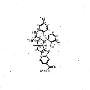 COC(=O)c1ccc2c(c1)nc1n2C[C@H]2[C@@H]1[C@H](c1cccc(Cl)c1F)[C@@]1(Cc3ccc(Cl)cc3NC1=O)N2C=O